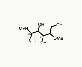 CN[C@H](C)C(O)[C@H](O)C(CO)OC